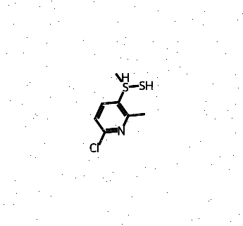 Cc1nc(Cl)ccc1[SH](C)S